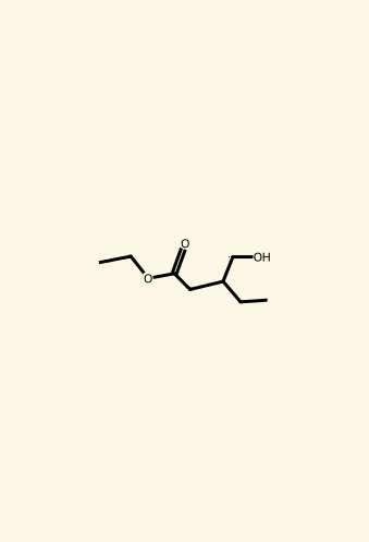 CCOC(=O)CC([CH]O)CC